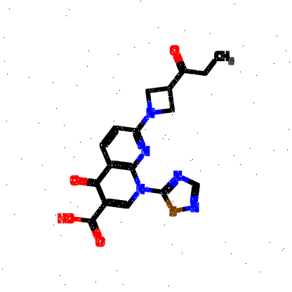 CCC(=O)C1CN(c2ccc3c(=O)c(C(=O)O)cn(-c4ncns4)c3n2)C1